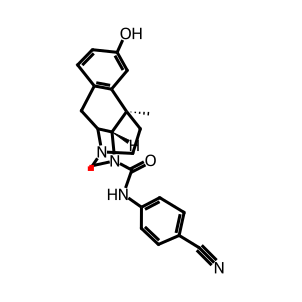 CN1CC[C@]2(C)c3cc(O)ccc3CC1[C@H]2N(C)C(=O)Nc1ccc(C#N)cc1